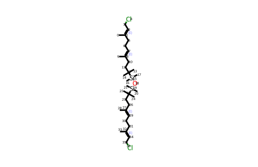 C/C(=C\CCl)CC/C=C(\C)CCC(C)(C)[Si](C)(C)O[Si](C)(C)C(C)(C)CC/C(C)=C/CC/C(C)=C/CCl